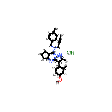 CC#CCN(Cc1ccc(C)cc1)c1c2c(nc3c(-c4ccc(OC)cc4C)c(C)nn13)CCC2.Cl